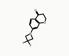 O=C1CCOc2cc(N3CC(F)(F)C3)ccc21